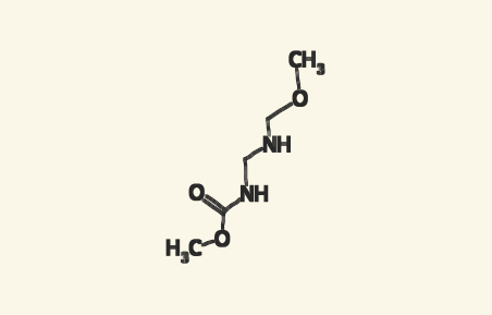 COCNCNC(=O)OC